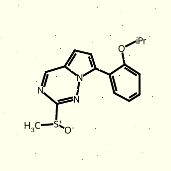 CC(C)Oc1ccccc1-c1ccc2cnc([S+](C)[O-])nn12